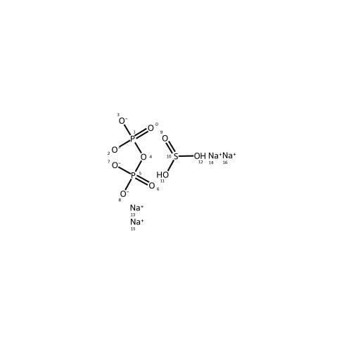 O=P([O-])([O-])OP(=O)([O-])[O-].O=S(O)O.[Na+].[Na+].[Na+].[Na+]